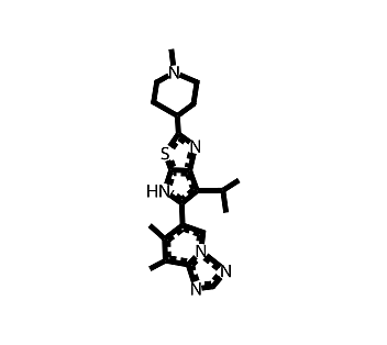 Cc1c(-c2[nH]c3sc(C4CCN(C)CC4)nc3c2C(C)C)cn2ncnc2c1C